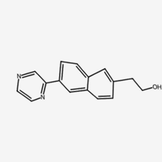 OCCc1ccc2cc(-c3cnccn3)ccc2c1